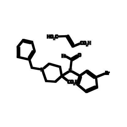 CCOC(=O)C1(N(C(=O)CC)c2cccc(Br)c2)CCN(Cc2ccccc2)CC1.O=C(O)C=CC(=O)O